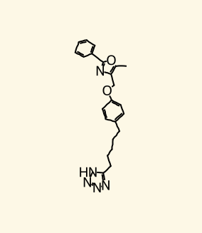 Cc1oc(-c2ccccc2)nc1COc1ccc(CCCCCc2nnn[nH]2)cc1